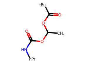 [CH2]CCNC(=O)OC(C)OC(=O)C(C)(C)C